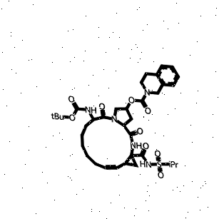 CC(C)S(=O)(=O)NC(=O)C12CC1C=CCCCCCC(NC(=O)OC(C)(C)C)C(=O)N1CC(OC(=O)N3CCc4ccccc4C3)CC1C(=O)N2